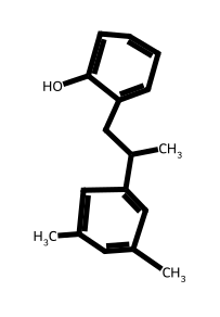 Cc1cc(C)cc(C(C)Cc2ccccc2O)c1